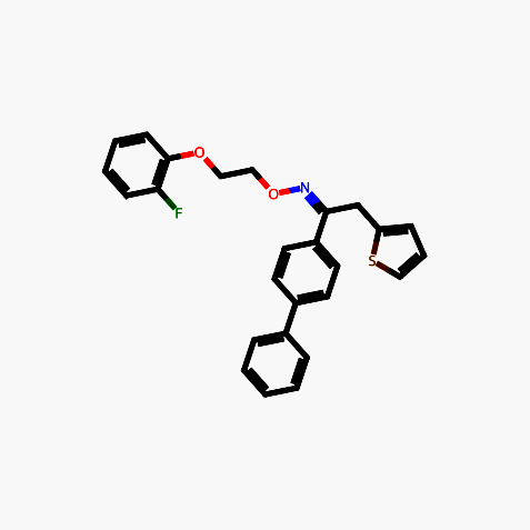 Fc1[c]cccc1OCCON=C(Cc1cccs1)c1ccc(-c2ccccc2)cc1